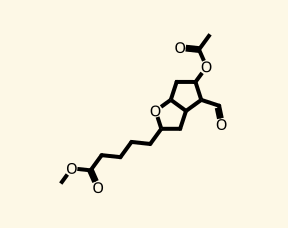 COC(=O)CCCCC1CC2C(CC(OC(C)=O)C2C=O)O1